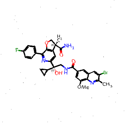 COc1cc(C(=O)NC[C@](O)(c2cc3c(c(-c4ccc(F)cc4)n2)OC[C@]3(C)C(N)=O)C2CC2)cc2cc(Br)c(C)nc12